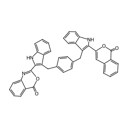 O=c1oc(-c2[nH]c3ccccc3c2Cc2ccc(Cc3c(-c4nc5ccccc5c(=O)o4)[nH]c4ccccc34)cc2)cc2ccccc12